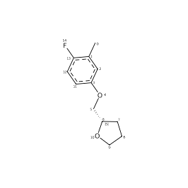 Cc1cc(OC[C@@H]2CCCO2)ccc1F